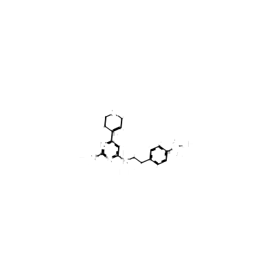 CS(=O)(=O)c1ccc(CCNc2cc(C3=CCNCC3)nc(N)n2)cc1.Cl